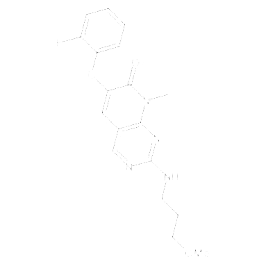 COCCCNc1ncc2cc(Oc3ccccc3F)c(=O)n(C)c2n1